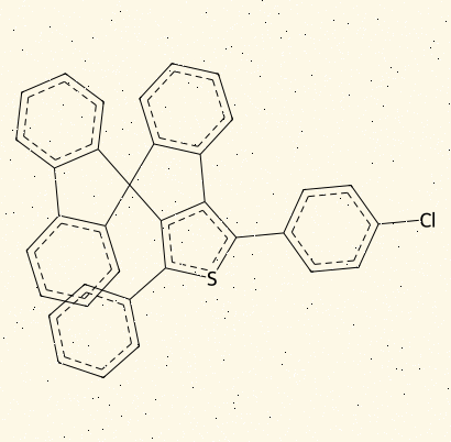 Clc1ccc(-c2sc(-c3ccccc3)c3c2-c2ccccc2C32c3ccccc3-c3ccccc32)cc1